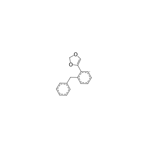 [c]1cccc(Cc2ccccc2)c1C1=COCO1